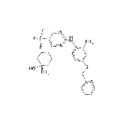 Cc1cc(SCc2ccccc2)ccc1Nc1ncc(C(F)(F)F)c([C@H]2CC[C@@](C)(O)CC2)n1